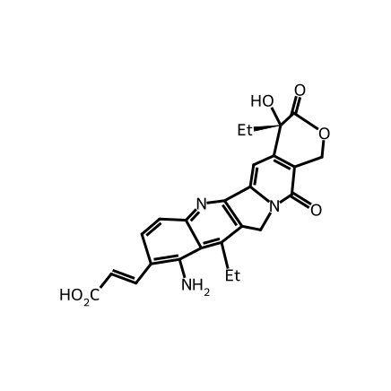 CCc1c2c(nc3ccc(C=CC(=O)O)c(N)c13)-c1cc3c(c(=O)n1C2)COC(=O)[C@]3(O)CC